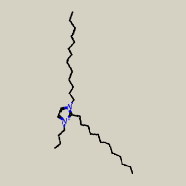 CCCCCCCCCCCCCn1cc[n+](CCCC)c1CCCCCCCCCCCC